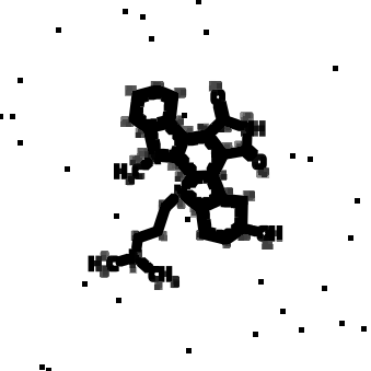 CN(C)CCCn1c2ccc(O)cc2c2c3c(c4c5ccccc5n(C)c4c21)C(=O)NC3=O